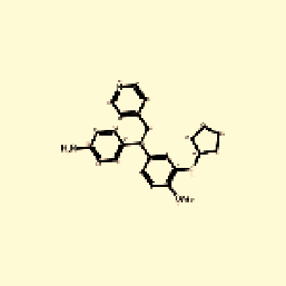 COc1ccc([C@H](Cc2ccncc2)c2ccc(N)cc2)cc1OC1CCCC1